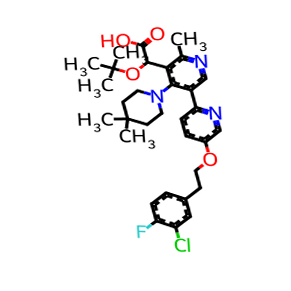 Cc1ncc(-c2ccc(OCCc3ccc(F)c(Cl)c3)cn2)c(N2CCC(C)(C)CC2)c1C(OC(C)(C)C)C(=O)O